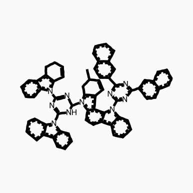 CC1C=Cc2c(n(C3N=C(n4c5c(c6ccccc64)CCC=C5)N=C(n4c5ccccc5c5ccccc54)N3)c3ccc4c5ccccc5n(-c5nc(-c6ccc7ccccc7c6)nc(-c6ccc7ccccc7c6)n5)c4c23)C1